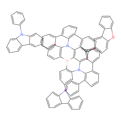 c1ccc(-c2cccc(-c3ccccc3)c2N2c3cc(-c4ccc5c(c4)c4ccccc4n5-c4ccccc4)ccc3B3c4ccc(-n5c6ccccc6c6ccccc65)cc4N(c4c(-c5ccccc5)cccc4-c4ccccc4)c4cc(-c5ccc6oc7ccccc7c6c5)cc2c43)cc1